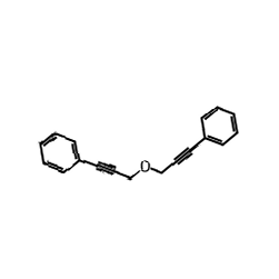 C(#Cc1ccccc1)COCC#Cc1ccccc1